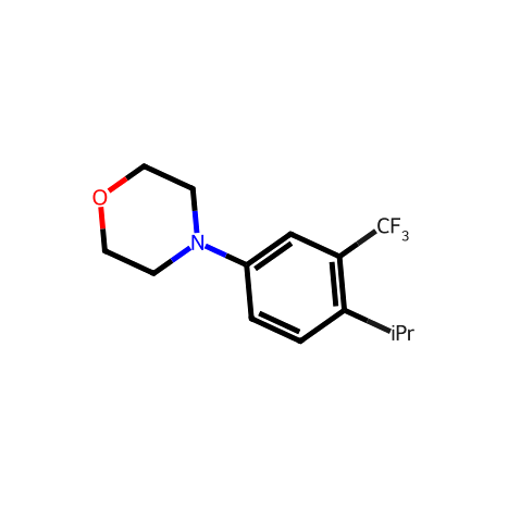 CC(C)c1ccc(N2CCOCC2)cc1C(F)(F)F